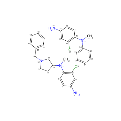 CN(c1ccc(N)cc1Cl)C1CCN(Cc2ccccc2)C1.CN(c1ccccc1)c1ccc(N)cc1Cl